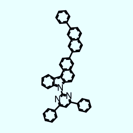 c1ccc(-c2ccc3ccc(-c4ccc5c(ccc6c5c5ccccc5n6-c5nc(-c6ccccc6)cc(-c6ccccc6)n5)c4)cc3c2)cc1